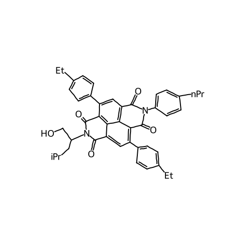 CCCc1ccc(N2C(=O)c3cc(-c4ccc(CC)cc4)c4c5c(cc(-c6ccc(CC)cc6)c(c35)C2=O)C(=O)N(C(CO)CC(C)C)C4=O)cc1